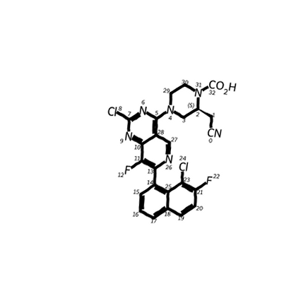 N#CC[C@H]1CN(c2nc(Cl)nc3c(F)c(-c4cccc5ccc(F)c(Cl)c45)ncc23)CCN1C(=O)O